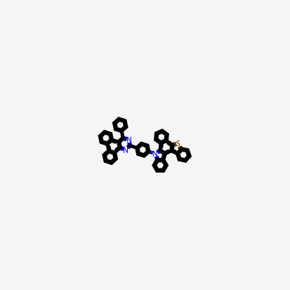 c1ccc(-c2nc(-c3ccc(-n4c5ccccc5c5c6c7ccccc7sc6c6ccccc6c54)cc3)nc3c4ccccc4c4ccccc4c23)cc1